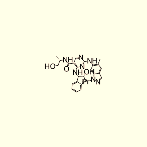 Cc1cc2cnn(C(C)C)c2cc1Nc1ncc(C(=O)N[C@@H](C)CO)c(N[C@H]2c3ccccc3C[C@H]2O)n1